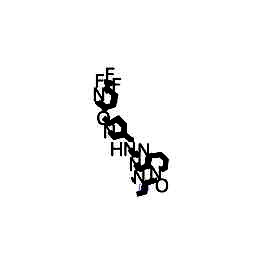 C/C=C1/C(=O)N2CCCc3nc(NCc4ccc(Oc5ccc(C(F)(F)F)nc5)nc4)nc(c32)N1C